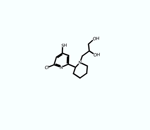 OCC(O)CN1CCCCC1c1cc(S)cc(Cl)n1